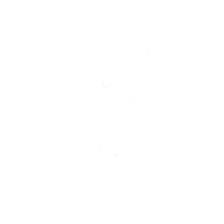 O=C(O)c1cc2c(OC(C(=O)O)c3ccccc3)cccc2n1Cc1ccccc1